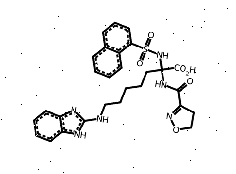 O=C(NC(CCCCCNc1nc2ccccc2[nH]1)(NS(=O)(=O)c1cccc2ccccc12)C(=O)O)C1=NOCC1